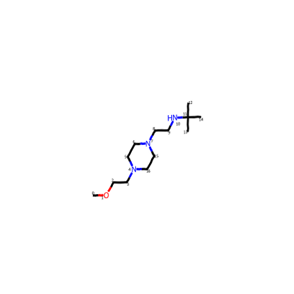 COCCN1CCN(CCNC(C)(C)C)CC1